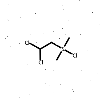 CS(C)(Cl)CC(Cl)Cl